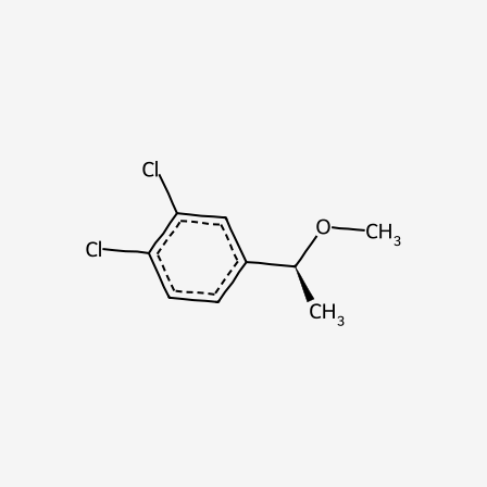 CO[C@@H](C)c1ccc(Cl)c(Cl)c1